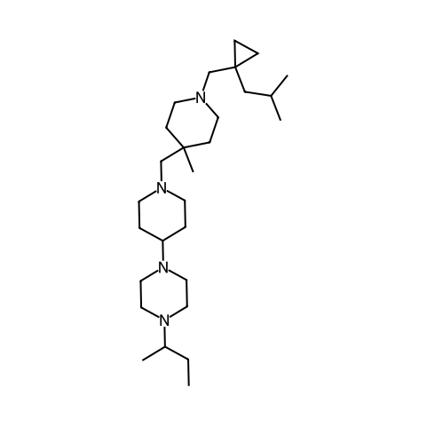 CCC(C)N1CCN(C2CCN(CC3(C)CCN(CC4(CC(C)C)CC4)CC3)CC2)CC1